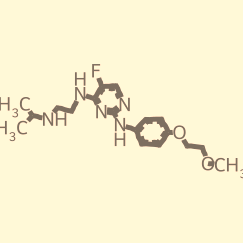 COCCOc1ccc(Nc2ncc(F)c(NCCNC(C)C)n2)cc1